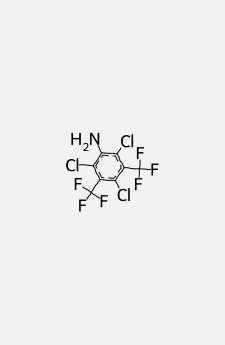 Nc1c(Cl)c(C(F)(F)F)c(Cl)c(C(F)(F)F)c1Cl